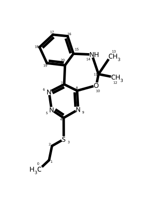 CCCSc1nnc2c(n1)OC(C)(C)Nc1ccccc1-2